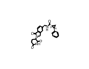 O=C1CCC(N2Cc3cc(CNC(=O)[C@@H]4C[C@H]4c4ccccc4)ccc3C2=O)C(=O)N1